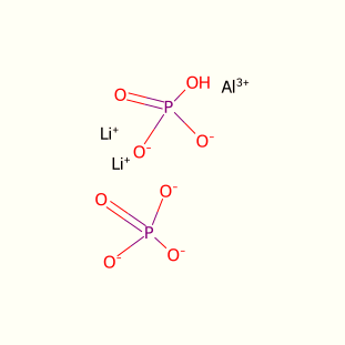 O=P([O-])([O-])O.O=P([O-])([O-])[O-].[Al+3].[Li+].[Li+]